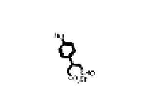 CCOC(=O)CC(CC=O)c1ccc(O)cc1